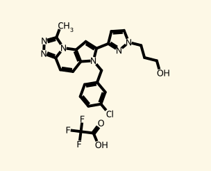 Cc1nnc2ccc3c(cc(-c4ccn(CCCO)n4)n3Cc3cccc(Cl)c3)n12.O=C(O)C(F)(F)F